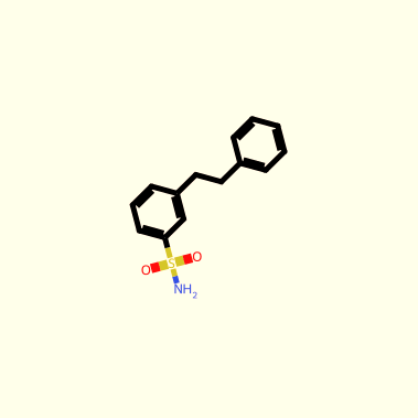 NS(=O)(=O)c1cccc(CCc2ccccc2)c1